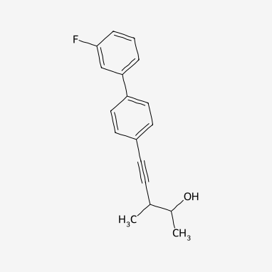 CC(O)C(C)C#Cc1ccc(-c2cccc(F)c2)cc1